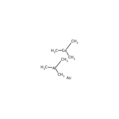 [As].[CH3][Al]([CH3])[CH3].[CH3][Ga]([CH3])[CH3]